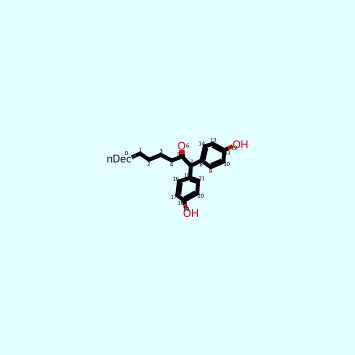 CCCCCCCCCCCCCCC(=O)C(c1ccc(O)cc1)c1ccc(O)cc1